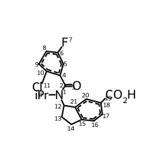 CC(C)N(C(=O)c1cc(F)ccc1Cl)C1CCc2ccc(C(=O)O)cc21